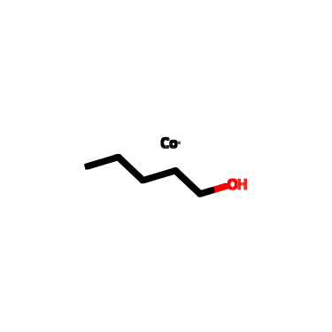 CCCCCO.[Co]